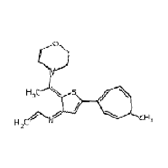 C=C/N=C1/C=C(C2=CC=CC(C)C=C2)S/C1=C(/C)N1CCOCC1